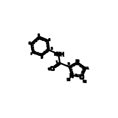 O=C(Nc1ccccc1)c1ccon1